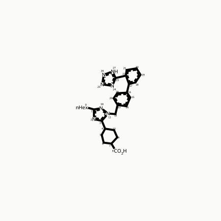 CCCCCCc1nc(C2CCC(C(=O)O)CC2)n(Cc2ccc(-c3ccccc3-c3nnn[nH]3)cc2)n1